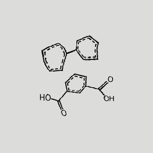 O=C(O)c1cccc(C(=O)O)c1.c1ccc(-c2ccccc2)cc1